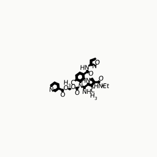 CCNC(=O)c1c[nH]c(C(=N)N(C(=O)OCOC(=O)c2cccnc2)c2cc(C(=O)Nc3ccon3)ccc2C)c1C